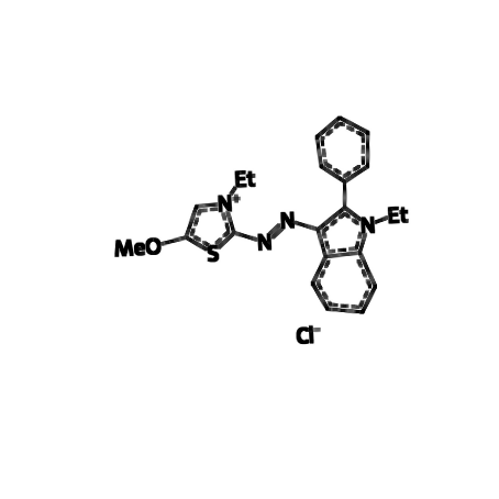 CCn1c(-c2ccccc2)c(/N=N/c2sc(OC)c[n+]2CC)c2ccccc21.[Cl-]